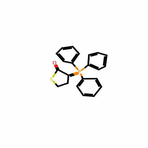 O=C1SCCC1=P(c1ccccc1)(c1ccccc1)c1ccccc1